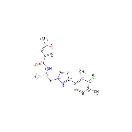 Cc1cc(C(=O)N[C@@H](C)Cn2ccc(-c3ccc(C#N)c(Cl)c3C)n2)no1